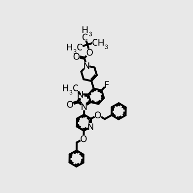 Cn1c(=O)n(-c2ccc(OCc3ccccc3)nc2OCc2ccccc2)c2ccc(F)c(C3=CCN(C(=O)OC(C)(C)C)CC3)c21